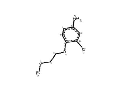 CCOCCOc1ccc(N)cc1Cl